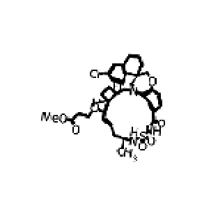 COC(=O)CCOC1/C=C/C[C@H](C)NS(=O)(=O)NC(=O)c2ccc3c(c2)N(C[C@@H]2CC[C@@H]12)C[C@@]1(CCCc2cc(Cl)ccc21)CO3